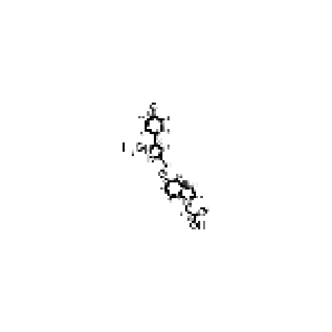 Cn1nc(COc2ccc3c(ccn3CC(=O)O)c2)cc1-c1ccc(Cl)cc1